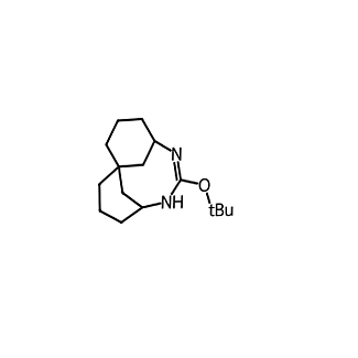 CC(C)(C)O/C1=N/C2CCCC3(CCCC(C3)N1)C2